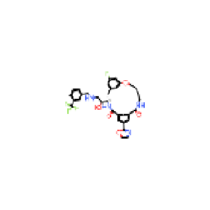 O=C1NCCCCOc2cc(F)cc(c2)C[C@@H]([C@H](O)CNCc2cccc(C(F)(F)F)c2)NC(=O)c2cc1cc(-c1ncco1)c2